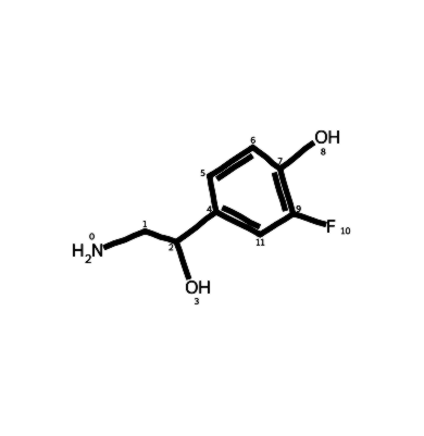 NCC(O)c1ccc(O)c(F)c1